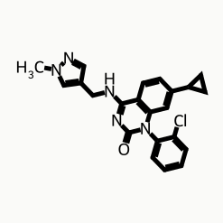 Cn1cc(CNc2nc(=O)n(-c3ccccc3Cl)c3cc(C4CC4)ccc23)cn1